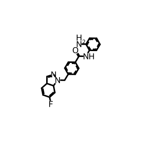 Nc1ccccc1NC(=O)c1ccc(CN2N=CC3C=CC(F)=CC32)cc1